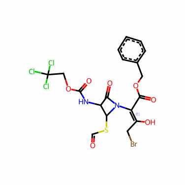 O=CSC1C(NC(=O)OCC(Cl)(Cl)Cl)C(=O)N1/C(C(=O)OCc1ccccc1)=C(/O)CBr